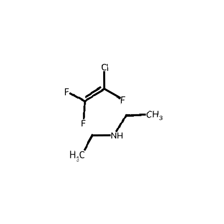 CCNCC.FC(F)=C(F)Cl